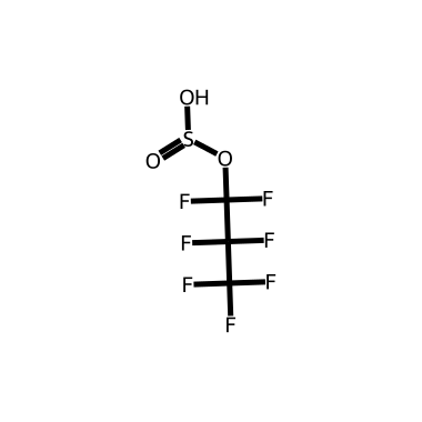 O=S(O)OC(F)(F)C(F)(F)C(F)(F)F